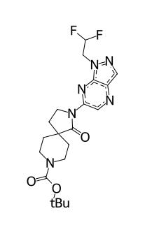 CC(C)(C)OC(=O)N1CCC2(CC1)CCN(c1cnc3cnn(CC(F)F)c3n1)C2=O